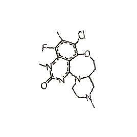 Cc1c(Cl)c2c3c(nc(=O)n(C)c3c1F)N1CCN(C)CC1CCO2